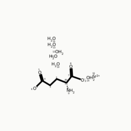 N[C@H](CCC(=O)[O-])C(=O)[O-].O.O.O.O.O.O.[Sr+2]